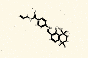 C=CCOC(=O)c1ccc(N=Cc2ccc3c(c2NC)C(C)(C)CCC3(C)C)cc1